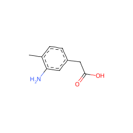 Cc1ccc(CC(=O)O)cc1N